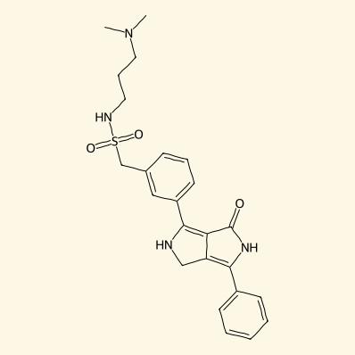 CN(C)CCCNS(=O)(=O)Cc1cccc(C2=C3C(=O)NC(c4ccccc4)=C3CN2)c1